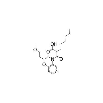 CCCCCCC(C(=O)O)C(=O)N1CC(CCOC)Oc2ccccc21